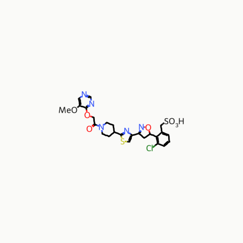 COc1cncnc1OCC(=O)N1CCC(c2nc(C3=NOC(c4c(Cl)cccc4CS(=O)(=O)O)C3)cs2)CC1